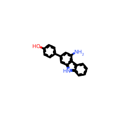 Nc1cc(-c2ccc(O)cc2)cc2[nH]c3ccccc3c12